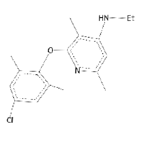 CCNc1cc(C)nc(Oc2c(C)cc(Cl)cc2C)c1C